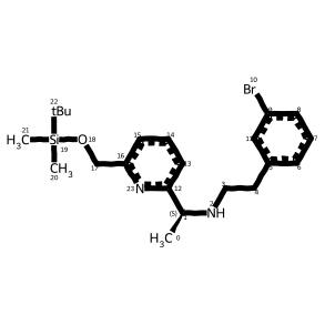 C[C@H](NCCc1cccc(Br)c1)c1cccc(CO[Si](C)(C)C(C)(C)C)n1